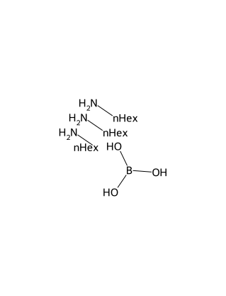 CCCCCCN.CCCCCCN.CCCCCCN.OB(O)O